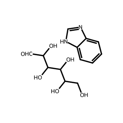 O=CC(O)C(O)C(O)C(O)CO.c1ccc2[nH]cnc2c1